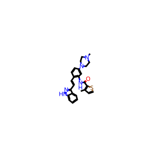 Cc1ccsc1C(=O)Nc1cc(N2CCN(C)CC2)ccc1C=Cc1n[nH]c2ccccc12